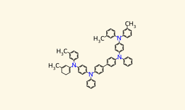 CC1=CC(N(c2ccc(N(c3ccccc3)c3ccc(-c4ccc(N(c5ccccc5)c5ccc(N(c6cccc(C)c6)c6cccc(C)c6)cc5)cc4)cc3)cc2)c2cccc(C)c2)=CCC1